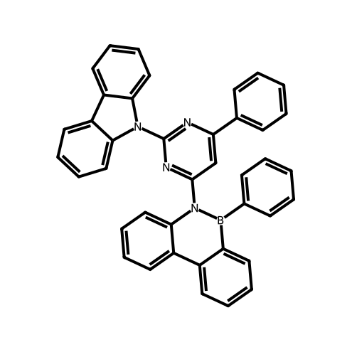 c1ccc(B2c3ccccc3-c3ccccc3N2c2cc(-c3ccccc3)nc(-n3c4ccccc4c4ccccc43)n2)cc1